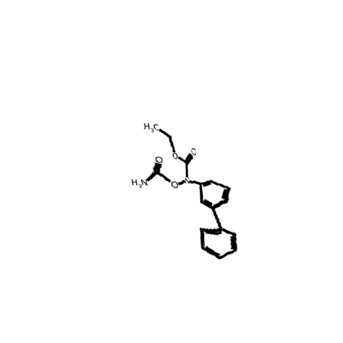 CCOC(=O)N(OC(N)=O)c1cccc(-c2ccccc2)c1